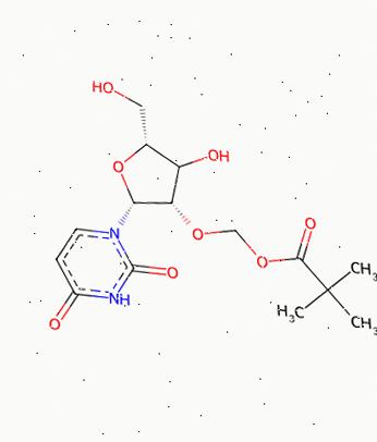 CC(C)(C)C(=O)OCO[C@H]1C(O)[C@@H](CO)O[C@H]1n1ccc(=O)[nH]c1=O